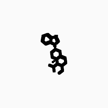 CCC1CC=C2C[C@H](n3cnc4ccccc43)CC[C@]2(C)C1C(C)C